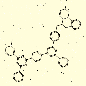 CC1C=C(c2cc(-c3ccccc3)nc(C3C=CC(c4cc(-c5ccccc5)cc(-c5ccc(CC6Cc7ccccc7C7CC(C)C=CC67)cc5)c4)=CC3)n2)C=CC1